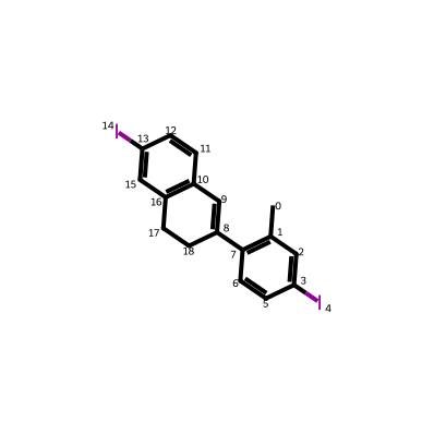 Cc1cc(I)ccc1C1=Cc2ccc(I)cc2CC1